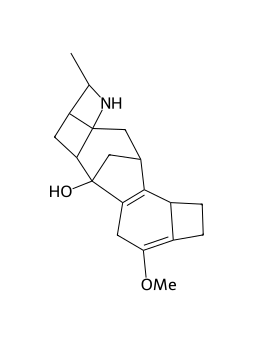 COC1=C2CCC2C2=C(C1)C1(O)CC2CC23NC(C)C2CC13